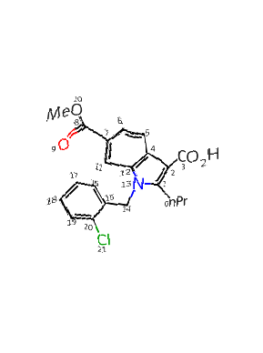 CCCc1c(C(=O)O)c2ccc(C(=O)OC)cc2n1Cc1ccccc1Cl